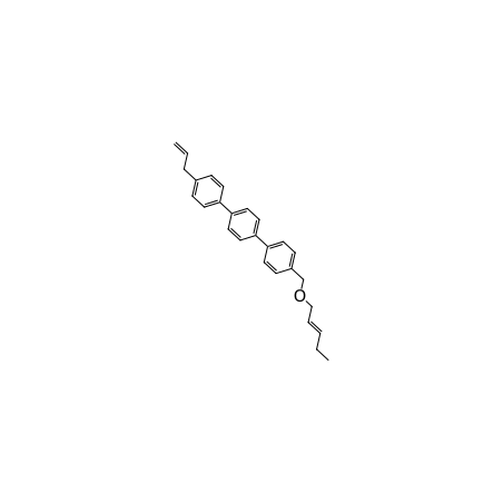 C=CCc1ccc(-c2ccc(-c3ccc(COC/C=C/CC)cc3)cc2)cc1